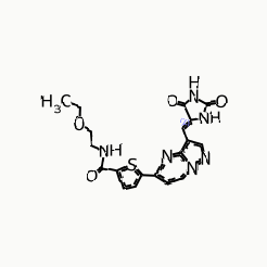 CCOCCNC(=O)c1ccc(-c2ccn3ncc(/C=C4\NC(=O)NC4=O)c3n2)s1